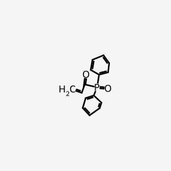 C=CC(=O)P(=O)(c1ccccc1)c1ccccc1